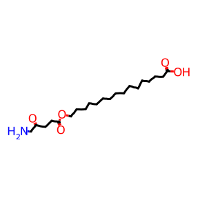 NCC(=O)CCC(=O)OCCCCCCCCCCCCCCCC(=O)O